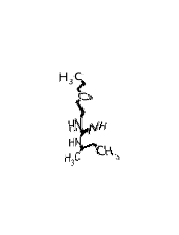 CCCOCCNC(=N)NC(C)CC